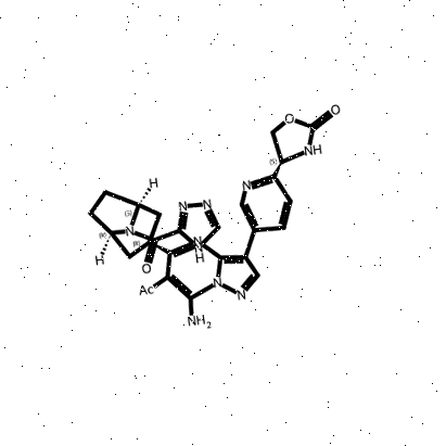 CC(=O)c1c([C@H]2C[C@H]3CC[C@@H](C2)N3C(=O)c2nnc[nH]2)nc2c(-c3ccc([C@H]4COC(=O)N4)nc3)cnn2c1N